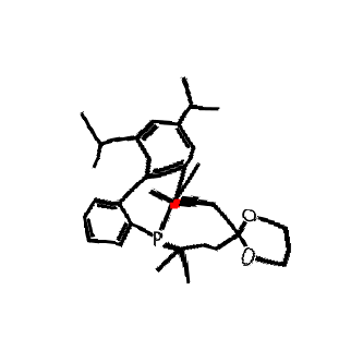 C=Cc1cc(C(C)C)cc(C(C)C)c1-c1ccccc1P1C(C)(C)CC2(CC1(C)C)OCCO2